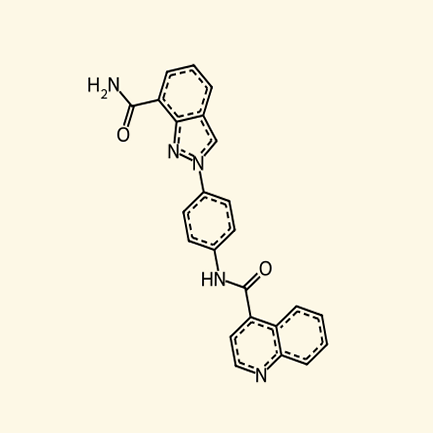 NC(=O)c1cccc2cn(-c3ccc(NC(=O)c4ccnc5ccccc45)cc3)nc12